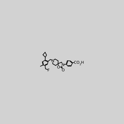 Cc1cc(C2CCC2)c(CN2CCC3(CC2)CN(c2ccc(C(=O)O)cc2)C(=O)O3)cc1CF